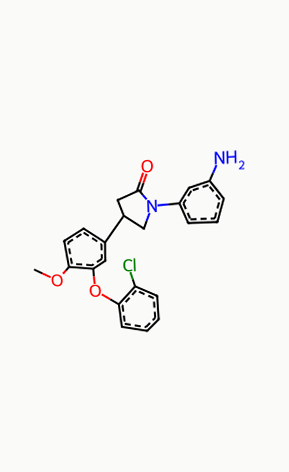 COc1ccc(C2CC(=O)N(c3cccc(N)c3)C2)cc1Oc1ccccc1Cl